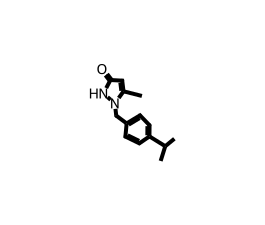 Cc1cc(=O)[nH]n1Cc1ccc(C(C)C)cc1